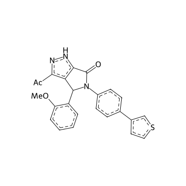 COc1ccccc1C1c2c(C(C)=O)n[nH]c2C(=O)N1c1ccc(-c2ccsc2)cc1